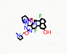 C#Cc1c(F)ccc2cc(O)cc(-c3nc(OC)c4c(N5CC6CCC(C5)N6)nc(OC[C@@H]5CCCN5C)nc4c3F)c12